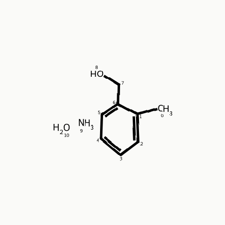 Cc1ccccc1CO.N.O